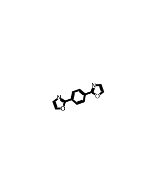 c1coc(-c2ccc(-c3ncco3)cc2)n1